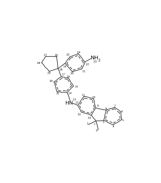 CC1(C)c2ccccc2-c2ccc(Nc3ccc(C4(c5ccc(N)cc5)CCCC4)cc3)cc21